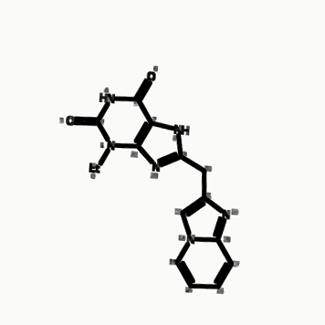 CCn1c(=O)[nH]c(=O)c2[nH]c(Cc3cn4ccccc4n3)nc21